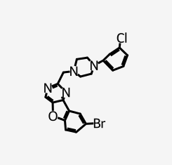 Clc1cccc(N2CCN(Cc3ncc4oc5ccc(Br)cc5c4n3)CC2)c1